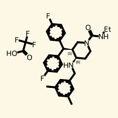 CCNC(=O)N1CC[C@@H](NCc2cc(C)cc(C)c2)[C@@H](C(c2ccc(F)cc2)c2ccc(F)cc2)C1.O=C(O)C(F)(F)F